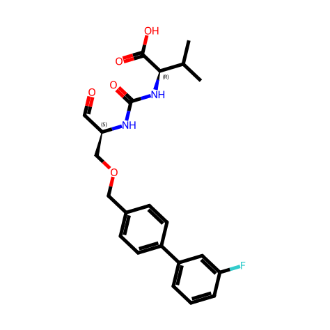 CC(C)[C@@H](NC(=O)N[C@H](C=O)COCc1ccc(-c2cccc(F)c2)cc1)C(=O)O